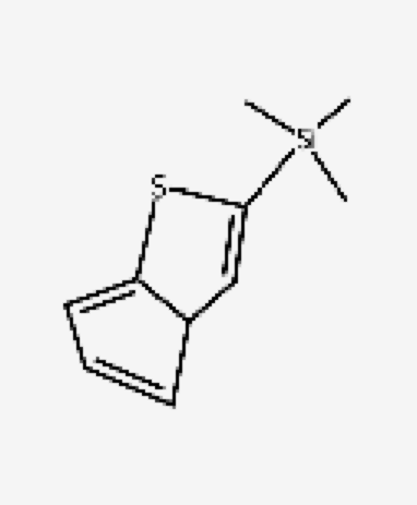 C[Si](C)(C)C1=CC2C=CC=C2S1